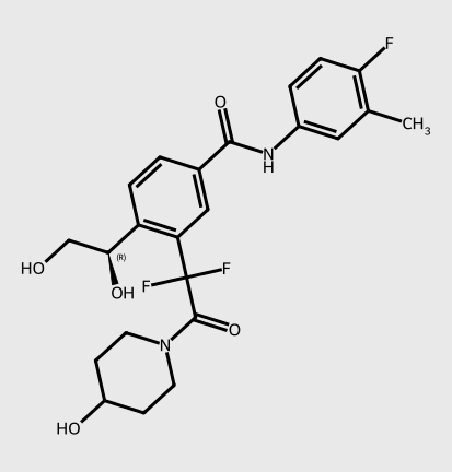 Cc1cc(NC(=O)c2ccc([C@@H](O)CO)c(C(F)(F)C(=O)N3CCC(O)CC3)c2)ccc1F